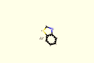 [Li+].c1ccc2c(c1)[N-]CS2